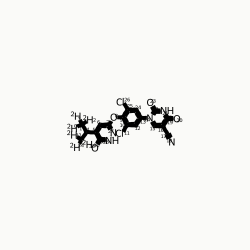 [2H]C([2H])([2H])C(c1cc(Oc2c(Cl)cc(-n3cc(C#N)c(=O)[nH]c3=O)cc2Cl)n[nH]c1=O)C([2H])([2H])[2H]